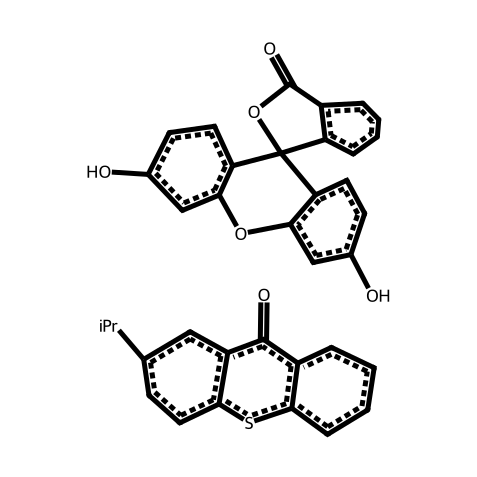 CC(C)c1ccc2sc3ccccc3c(=O)c2c1.O=C1OC2(c3ccc(O)cc3Oc3cc(O)ccc32)c2ccccc21